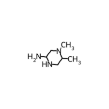 CC1CNC(N)CN1C